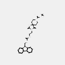 CC(C)(C)OC(=O)N1CCC2(CC1)NC(=O)N(CCNC(=O)OCC1c3ccccc3-c3ccccc31)C2=O